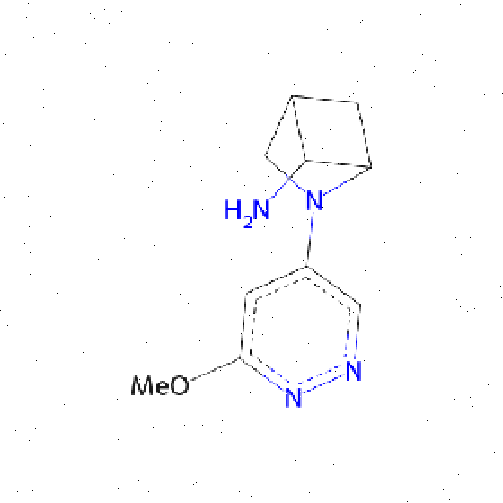 COc1cc(N2CC3CC2C3N)cnn1